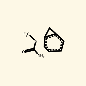 NC(=O)SC(F)(F)F.c1ccc2c(c1)C2